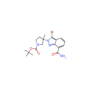 CC(C)(C)OC(=O)N1CCC(C)(n2nc3c(C(N)=O)cccc3c2Br)C1